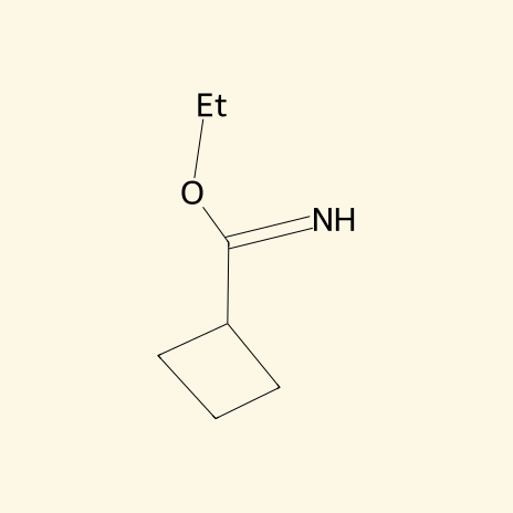 CCOC(=N)C1CCC1